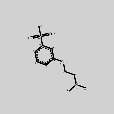 CN(C)CCNc1[c]ccc(S(C)(=O)=O)c1